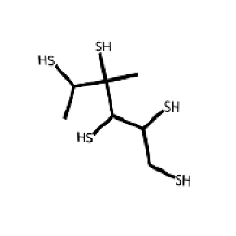 CC(S)C(C)(S)C(S)C(S)CS